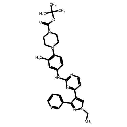 CCn1cc(-c2ccnc(Nc3ccc(N4CCN(C(=O)OC(C)(C)C)CC4)c(C)c3)n2)c(-c2cccnc2)n1